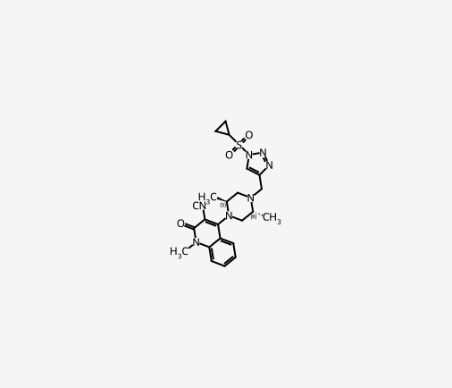 C[C@@H]1CN(c2c(C#N)c(=O)n(C)c3ccccc23)[C@@H](C)CN1Cc1cn(S(=O)(=O)C2CC2)nn1